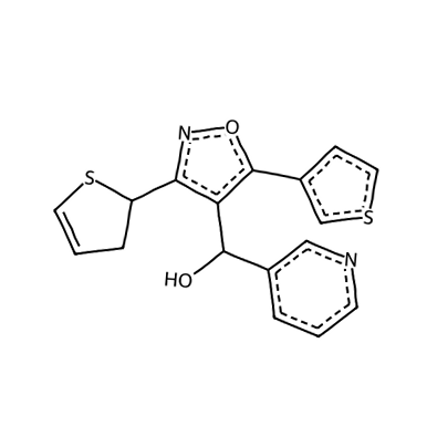 OC(c1cccnc1)c1c(C2CC=CS2)noc1-c1ccsc1